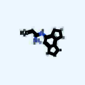 C=C/C(N)=N/c1cc2c(c3c1CCC3)CCC2